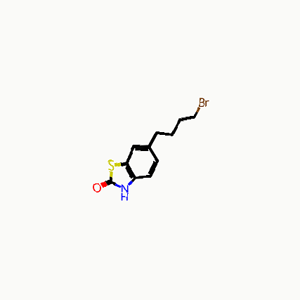 O=c1[nH]c2ccc(CCCCBr)cc2s1